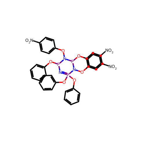 O=[N+]([O-])c1ccc(ON2P(Oc3ccccc3)N=P(Oc3ccccc3)(Oc3ccccc3)N(Oc3ccc([N+](=O)[O-])cc3)P2Oc2ccc([N+](=O)[O-])cc2)cc1